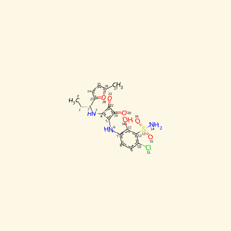 CC[C@@H](Nc1c(Nc2ccc(Cl)c(S(N)(=O)=O)c2O)c(=O)c1=O)c1ccc(C)o1